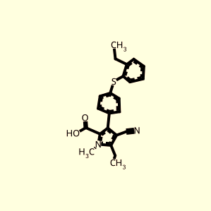 CCc1ccccc1Sc1ccc(-c2c(C#N)c(CC)n(C)c2C(=O)O)cc1